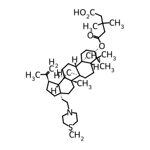 C=C(C)[C@@H]1CC[C@]2(CCN3CCS(=C)CC3)CC[C@]3(C)[C@H](CC[C@@H]4[C@@]5(C)CC[C@H](OC(=O)CC(C)(C)CC(=O)O)C(C)(C)[C@@H]5CC[C@]43C)[C@@H]12